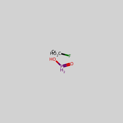 O=C(O)F.O=[PH2]O.[Cr]